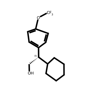 OC[C@H](c1ccc(OC(F)(F)F)cc1)C1CCCCC1